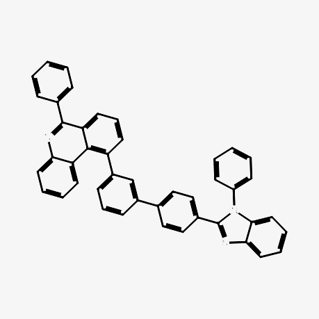 c1ccc(-c2nc3ccccc3c3c(-c4cccc(-c5ccc(-c6nc7ccccc7n6-c6ccccc6)cc5)c4)cccc23)cc1